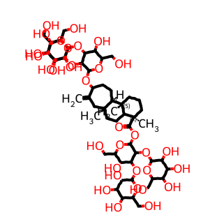 C=C1C[C@@]2(C)CCC3[C@](C)(C(=O)OC4OC(CO)C(O)C(OC5OC(CO)C(O)C(O)C5O)C4OC4OC(CO)C(O)C(O)C4O)CCC[C@@]3(C)[C@@H]2CCC1OC1OC(CO)C(O)C(OC2OC(CO)C(O)C(O)C2O)C1OC1OC(CO)C(O)C(O)C1O